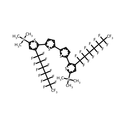 C[Si](C)(C)c1cc(C(F)(F)C(F)(F)C(F)(F)C(F)(F)C(F)(F)C(F)(F)C(F)(F)F)c(-c2ccc(-c3ccc(-c4sc([Si](C)(C)C)cc4C(F)(F)C(F)(F)C(F)(F)C(F)(F)C(F)(F)C(F)(F)C(F)(F)F)s3)s2)s1